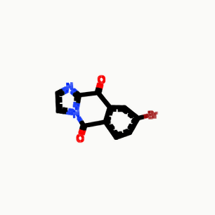 O=C1c2cc(Br)ccc2C(=O)n2ccnc21